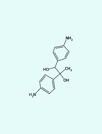 CC(O)(c1ccc(N)cc1)C(O)c1ccc(N)cc1